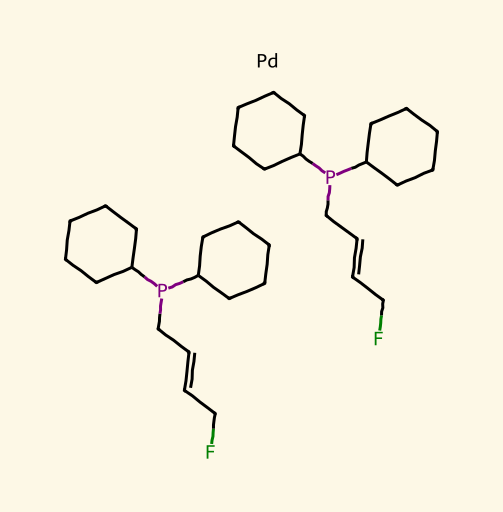 FCC=CCP(C1CCCCC1)C1CCCCC1.FCC=CCP(C1CCCCC1)C1CCCCC1.[Pd]